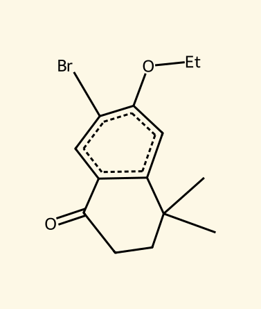 CCOc1cc2c(cc1Br)C(=O)CCC2(C)C